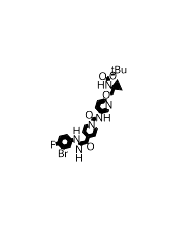 CC(C)(C)OC(=O)NC1(COc2ccc(NC(=O)N3CCC(C(=O)C(=N)Nc4ccc(F)c(Br)c4)CC3)cn2)CC1